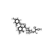 C[C@@H](NCC1(O)CN(C(=O)c2c(Nc3ccc(I)cc3F)ccc(F)c2F)C1)C(=O)O